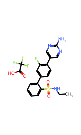 CCNS(=O)(=O)c1ccccc1-c1ccc(-c2cnc(N)nc2)c(F)c1.O=C(O)C(F)(F)F